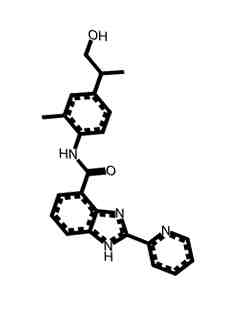 Cc1cc(C(C)CO)ccc1NC(=O)c1cccc2[nH]c(-c3ccccn3)nc12